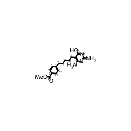 COC(=O)c1ccc(CCCCCc2c(N)nc(N)nc2O)cc1